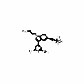 COCCCn1cc(-c2cc(C)nc(N)n2)c2cc(C#CC(C)(C)O)ncc21